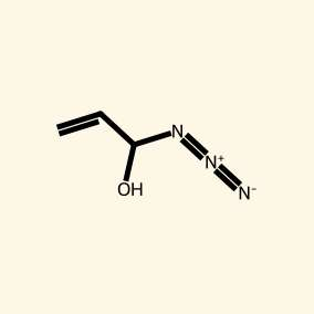 C=CC(O)N=[N+]=[N-]